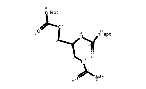 CCCCCCCC(=O)OCC(COC(=O)NC)OC(=O)CCCCCCC